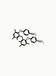 Cc1cc(C)c(Oc2ccc(N)cc2)c(Cc2c(C)c(C)cc(C)c2Oc2ccc(N)cc2)c1C